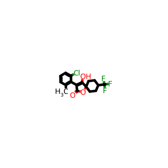 Cc1cccc(Cl)c1C1=C(O)C2(CCC(C(F)(F)F)CC2)OC1=O